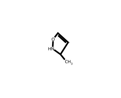 CC1[C]=CON1